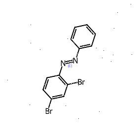 Brc1ccc(/N=N/c2ccccc2)c(Br)c1